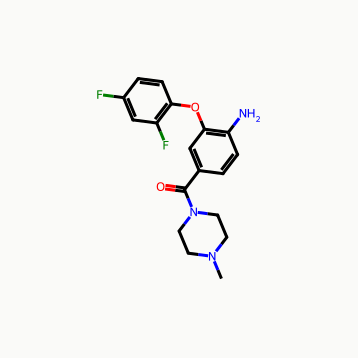 CN1CCN(C(=O)c2ccc(N)c(Oc3ccc(F)cc3F)c2)CC1